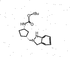 CC(C)(C)OC(=O)N[C@H]1CC[C@@H](CN2Cc3ccccc3N2)C1